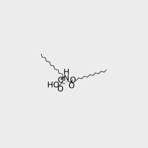 CCCCCCCCCCCCOC(=O)[C@H](CCC(=O)O)NC(=O)CCCCCCCCCCC